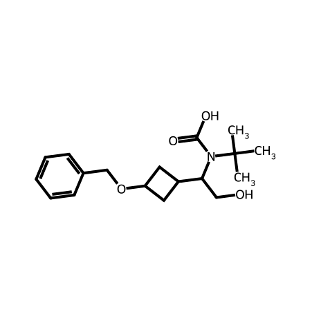 CC(C)(C)N(C(=O)O)C(CO)C1CC(OCc2ccccc2)C1